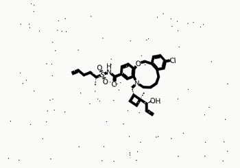 C=CCC[C@@H](C)S(=O)(=O)NC(=O)c1ccc2c(c1)N(C[C@H]1CC[C@]1(C)[C@H](O)C=C)CCCCc1cc(Cl)ccc1CO2